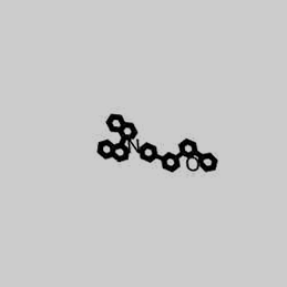 c1cc(-c2ccc(-n3c4ccc5ccccc5c4c4c5ccccc5ccc43)cc2)cc(-c2cccc3c2oc2ccccc23)c1